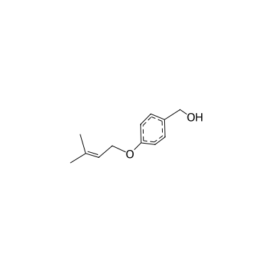 CC(C)=CCOc1ccc(CO)cc1